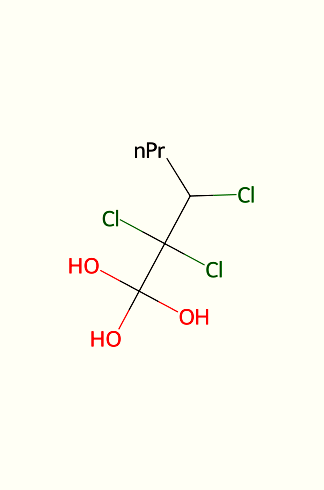 CCCC(Cl)C(Cl)(Cl)C(O)(O)O